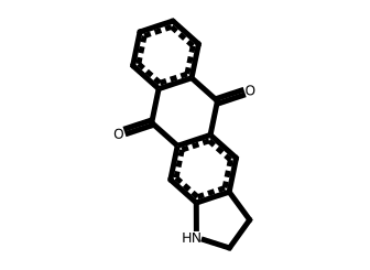 O=C1c2ccccc2C(=O)c2cc3c(cc21)CCN3